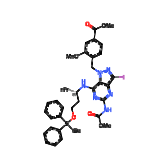 CCC[C@@H](CCO[Si](c1ccccc1)(c1ccccc1)C(C)(C)C)Nc1nc(NC(=O)OC)nc2c(I)nn(Cc3ccc(C(=O)OC)cc3OC)c12